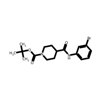 CC(C)(C)OC(=O)N1CCC(C(=O)Nc2cccc(Br)c2)CC1